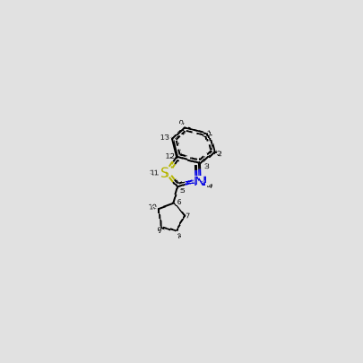 [c]1ccc2nc(C3CCCC3)sc2c1